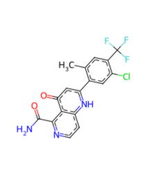 Cc1cc(C(F)(F)F)c(Cl)cc1-c1cc(=O)c2c(C(N)=O)nccc2[nH]1